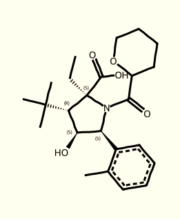 CC[C@@]1(C(=O)O)[C@@H](C(C)(C)C)[C@H](O)[C@H](c2ccccc2C)N1C(=O)C1CCCCO1